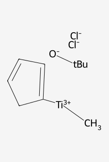 CC(C)(C)[O-].[CH3][Ti+3][C]1=CC=CC1.[Cl-].[Cl-]